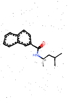 CC(C)C[C@H](C)NC(=O)c1ccc2ccccc2c1